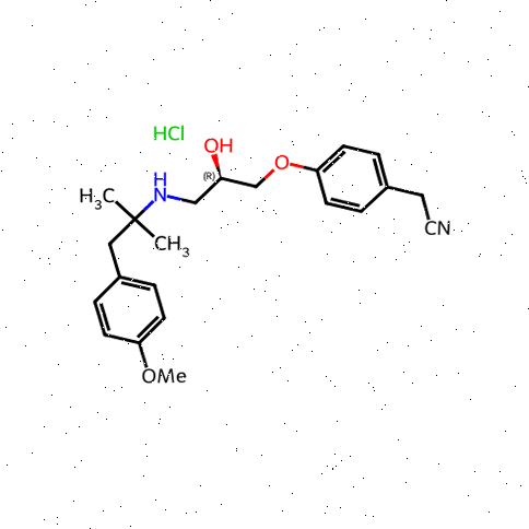 COc1ccc(CC(C)(C)NC[C@@H](O)COc2ccc(CC#N)cc2)cc1.Cl